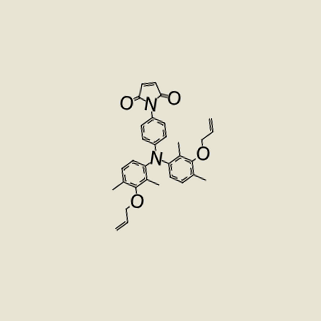 C=CCOc1c(C)ccc(N(c2ccc(N3C(=O)C=CC3=O)cc2)c2ccc(C)c(OCC=C)c2C)c1C